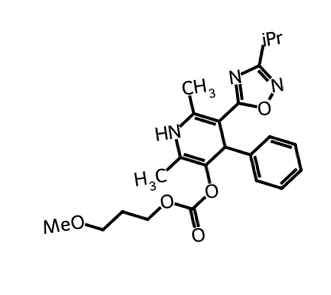 COCCCOC(=O)OC1=C(C)NC(C)=C(c2nc(C(C)C)no2)C1c1ccccc1